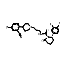 N#Cc1cc(F)ccc1C1CCN(CCCNC(=O)N2C(=O)CCC[C@@H]2c2ccc(F)c(F)c2)CC1